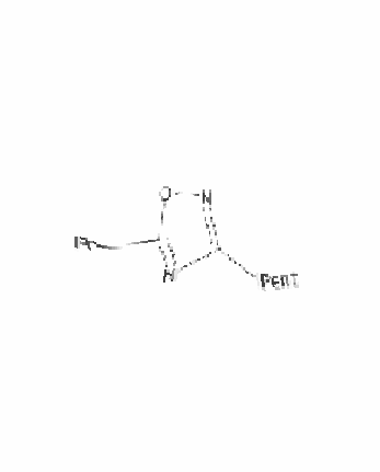 CCCC(C)c1noc(C(C)C)n1